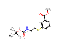 COC(=O)c1cccc(SCCNC(=O)OC(C)(C)C)c1